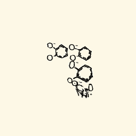 [Na+].[O-]c1ccccc1[O-].[O-]c1ccccc1[O-].[O-]c1ccccc1[O-].[O]=[GeH][O-]